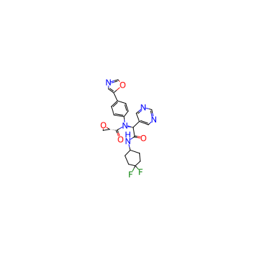 O=C(NC1CCC(F)(F)CC1)[C@H](c1cncnc1)N(C(=O)[C@@H]1CO1)c1ccc(-c2cnco2)cc1